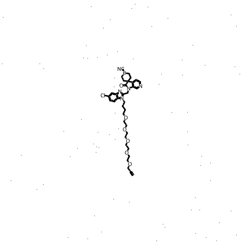 C#CCOCCOCCOCCOCCOCCCCn1c(CN2C(=O)C3(CCB(C#N)CC3)c3ccncc32)nc2cc(Cl)ccc21